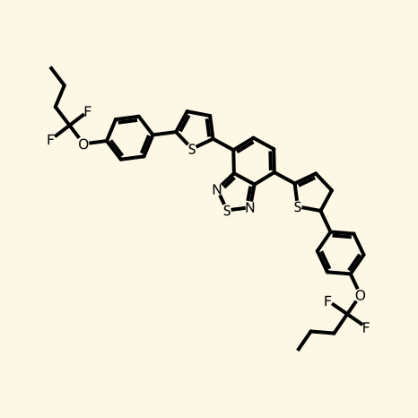 CCCC(F)(F)Oc1ccc(-c2ccc(-c3ccc(C4=CCC(c5ccc(OC(F)(F)CCC)cc5)S4)c4nsnc34)s2)cc1